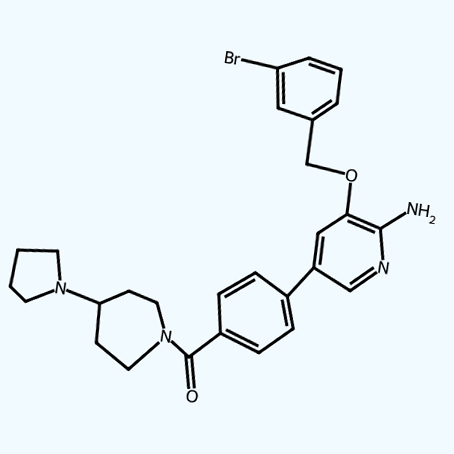 Nc1ncc(-c2ccc(C(=O)N3CCC(N4CCCC4)CC3)cc2)cc1OCc1cccc(Br)c1